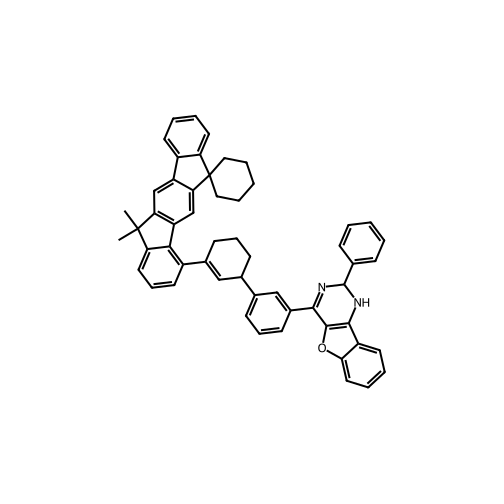 CC1(C)c2cc3c(cc2-c2c(C4=CC(c5cccc(C6=NC(c7ccccc7)Nc7c6oc6ccccc76)c5)CCC4)cccc21)C1(CCCCC1)c1ccccc1-3